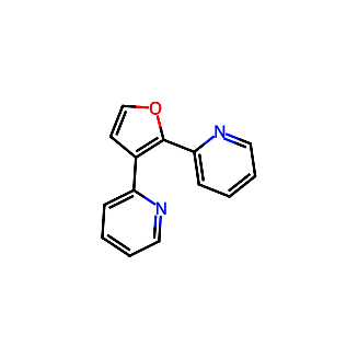 c1ccc(-c2ccoc2-c2ccccn2)nc1